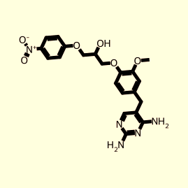 COc1cc(Cc2cnc(N)nc2N)ccc1OCC(O)COc1ccc([N+](=O)[O-])cc1